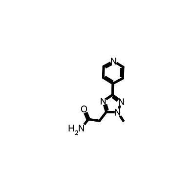 Cn1nc(-c2ccncc2)nc1CC(N)=O